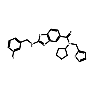 O=C(c1ccc2oc(NCc3cccc(Cl)c3)nc2c1)N(Cc1cccs1)C1CCCC1